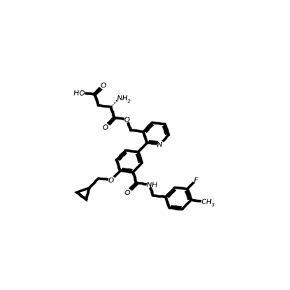 Cc1ccc(CNC(=O)c2cc(-c3ncccc3COC(=O)[C@@H](N)CC(=O)O)ccc2OCC2CC2)cc1F